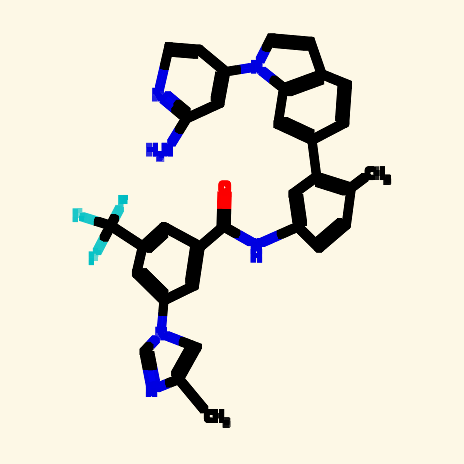 Cc1cn(-c2cc(C(=O)Nc3ccc(C)c(-c4ccc5ccn(-c6ccnc(N)c6)c5c4)c3)cc(C(F)(F)F)c2)cn1